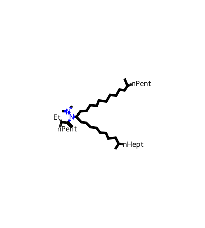 C=C(C(CC)CCCCC)N(C(CCCCCCCCCCC(C)CCCCC)CCCCCCCCC(C)CCCCCCC)N(C)C